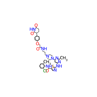 Cc1nc(Nc2ncc(C(=O)Nc3c(C)cccc3Cl)s2)cc(N2CCN(CCCNC(=O)COc3ccc(C4CCC(=O)NC4=O)cc3)CC2)n1